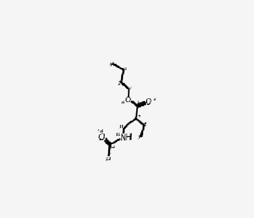 CCCCOC(=O)C(CC)CNC(C)=O